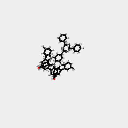 Cc1ccc2c(c1)c1cc(C)ccc1n2-c1cc(-c2nc(-c3ccccc3)nc(-c3ccccc3)n2)cc(-n2c3ccc(C)cc3c3cc(C)ccc32)c1-n1c2ccc(C)cc2c2cc(C)ccc21